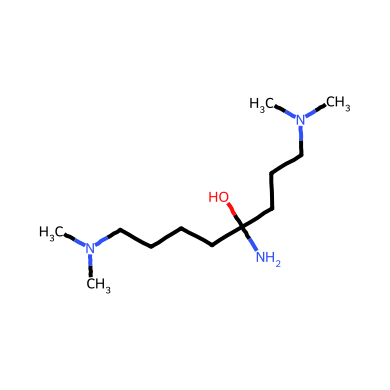 CN(C)CCCCC(N)(O)CCCN(C)C